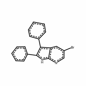 Brc1cnc2[nH]c(-c3ccccc3)c(-c3cc[c]cc3)c2c1